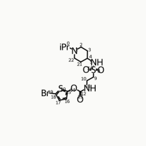 CC(C)N1CCC(NS(=O)(=O)CCNC(=O)Oc2ccc(Br)s2)CC1